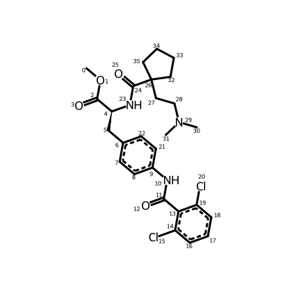 COC(=O)[C@H](Cc1ccc(NC(=O)c2c(Cl)cccc2Cl)cc1)NC(=O)C1(CCN(C)C)CCCC1